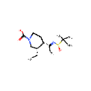 CC[C@@H]1CN(C(=O)O)CC[C@@H]1/C(C)=N/[S@+]([O-])C(C)(C)C